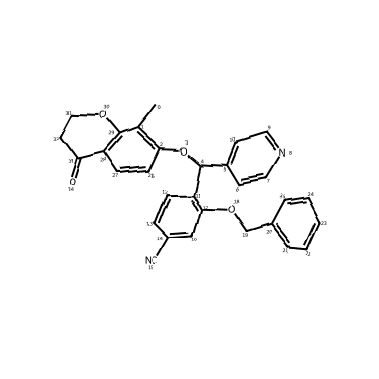 Cc1c(OC(c2ccncc2)c2ccc(C#N)cc2OCc2ccccc2)ccc2c1OCCC2=O